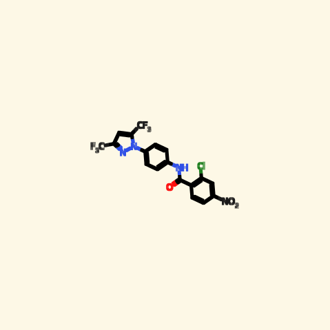 O=C(Nc1ccc(-n2nc(C(F)(F)F)cc2C(F)(F)F)cc1)c1ccc([N+](=O)[O-])cc1Cl